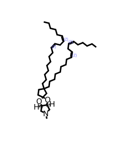 CCCCC/C=C\C/C=C\CCCCCCCCC1(CCCCCCCC/C=C\C/C=C\CCCCC)CCC2(C1)O[C@H]1CN(C)C[C@@H]1O2